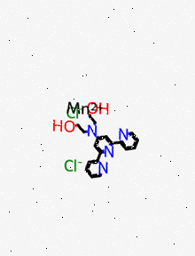 OCCN(CCO)c1cc(-c2ccccn2)nc(-c2ccccn2)c1.[Cl-].[Cl-].[Mn+2]